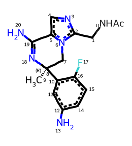 CC(=O)NCc1ncc2n1C[C@@](C)(c1cc(N)ccc1F)N=C2N